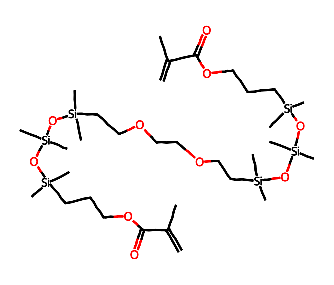 C=C(C)C(=O)OCCC[Si](C)(C)O[Si](C)(C)O[Si](C)(C)CCOCCOCC[Si](C)(C)O[Si](C)(C)O[Si](C)(C)CCCOC(=O)C(=C)C